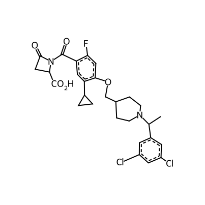 CC(c1cc(Cl)cc(Cl)c1)N1CCC(COc2cc(F)c(C(=O)N3C(=O)CC3C(=O)O)cc2C2CC2)CC1